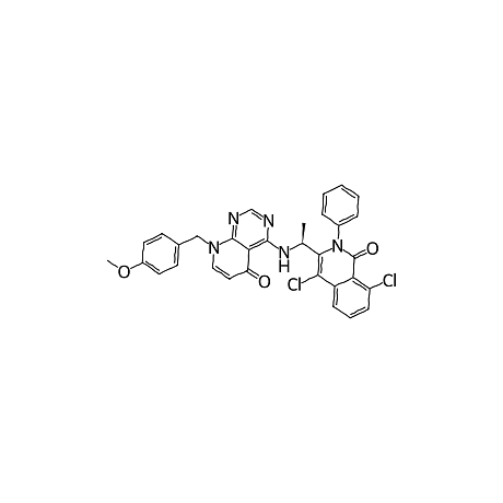 COc1ccc(Cn2ccc(=O)c3c(N[C@@H](C)c4c(Cl)c5cccc(Cl)c5c(=O)n4-c4ccccc4)ncnc32)cc1